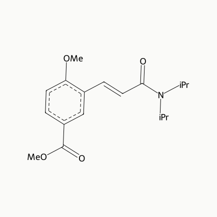 COC(=O)c1ccc(OC)c(/C=C/C(=O)N(C(C)C)C(C)C)c1